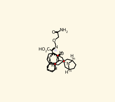 NC(=O)CO/N=C(\C(=O)O)c1nc2ccccc2n([C@H]2C[C@H]3CC[C@@H](C2)N3[C@@H]2C[C@@H]3CCCC[C@@H](C3)C2)c1=O